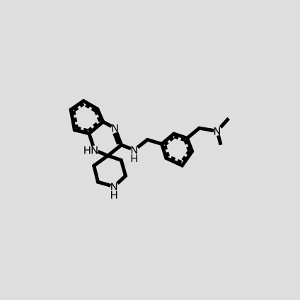 CN(C)Cc1cccc(CNC2=Nc3ccccc3NC23CCNCC3)c1